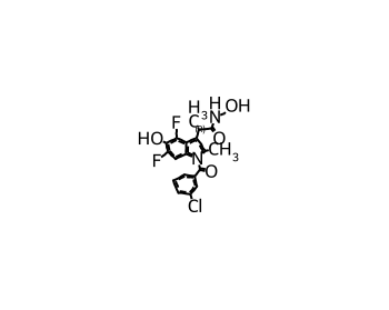 Cc1c([C@@H](C)C(=O)NCO)c2c(F)c(O)c(F)cc2n1C(=O)c1cccc(Cl)c1